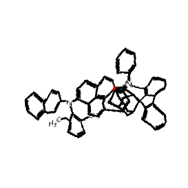 Cc1cccc(C)c1N(c1ccc2ccccc2c1)c1ccc2ccc3c(N(c4ccccc4)c4cccc5c4C4(c6ccccc6-5)C5CC6CC(C5)CC4C6)ccc4ccc1c2c43